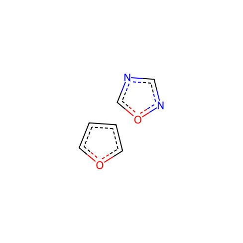 c1ccoc1.c1ncon1